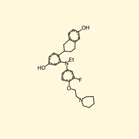 CCN(c1ccc(OCCN2CCCCC2)c(F)c1)c1cc(O)ccc1C1CCc2cc(O)ccc2C1